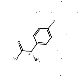 N[C@H](C(=O)O)c1ccc(Br)cc1